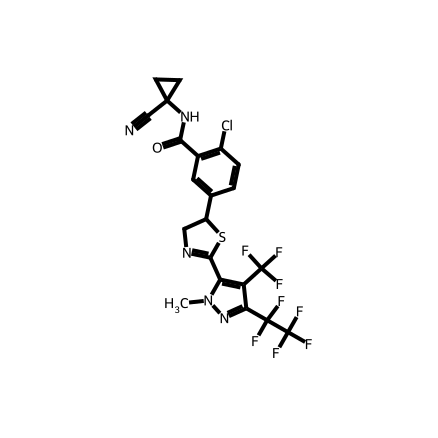 Cn1nc(C(F)(F)C(F)(F)F)c(C(F)(F)F)c1C1=NCC(c2ccc(Cl)c(C(=O)NC3(C#N)CC3)c2)S1